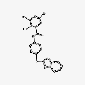 O=C(Nc1ccc(Sc2nc3ccccc3s2)cc1)c1cc(Br)cc(Br)c1O